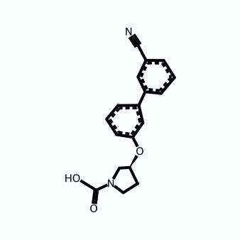 N#Cc1cccc(-c2cccc(O[C@H]3CCN(C(=O)O)C3)c2)c1